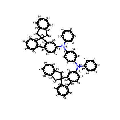 c1ccc(N(c2ccc(N(c3ccccc3)c3ccc4c(c3)C3(Cc5ccccc5C3)c3ccccc3-4)cc2)c2ccc3c(c2)C2(Cc4ccccc4C2)c2ccccc2-3)cc1